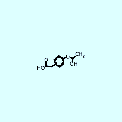 CC(O)Oc1ccc(CC(=O)O)cc1